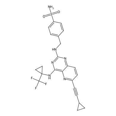 NS(=O)(=O)c1ccc(CNc2nc(NC3(C(F)(F)F)CC3)c3nc(C#CC4CC4)ccc3n2)cc1